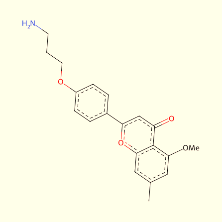 COc1cc(C)cc2oc(-c3ccc(OCCCN)cc3)cc(=O)c12